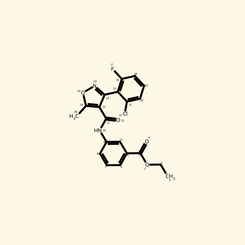 CCOC(=O)c1cccc(NC(=O)c2c(-c3c(F)cccc3Cl)noc2C)c1